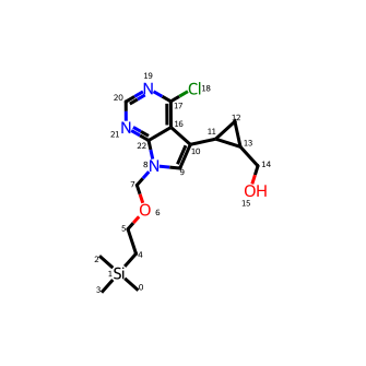 C[Si](C)(C)CCOCn1cc(C2CC2CO)c2c(Cl)ncnc21